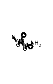 N#CCNC(=O)C(CNC(=O)c1cccc(N)c1)SCc1ccccc1